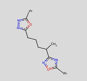 CC(C)c1nc(C(C)CCCc2nnc(C(C)C)o2)no1